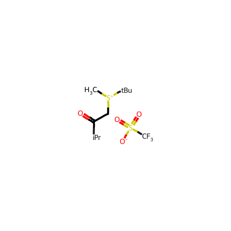 CC(C)C(=O)C[S+](C)C(C)(C)C.O=S(=O)([O-])C(F)(F)F